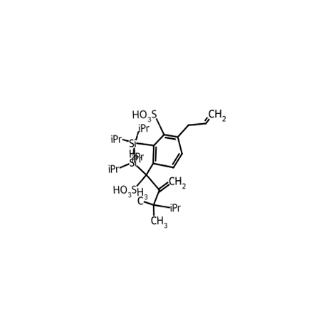 C=CCc1ccc(C(C(=C)C(C)(C)C(C)C)([SiH](C(C)C)C(C)C)S(=O)(=O)O)c([Si](C(C)C)(C(C)C)C(C)C)c1S(=O)(=O)O